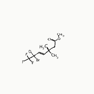 COC(=O)CC(C)(C)/C=C/C(Cl)(Br)C(F)(F)F